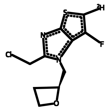 [2H]c1sc2nc(CCl)n(C[C@@H]3CCO3)c2c1F